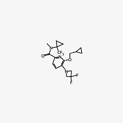 CN(C(=O)c1ccc(N2CC(F)(F)C2)c(OCC2CC2)n1)C1(C(F)(F)F)CC1